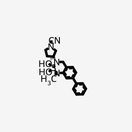 CN1c2cc(-c3ccccc3)ccc2CN([C@@H]2CCN(C#N)C2)S1(O)O